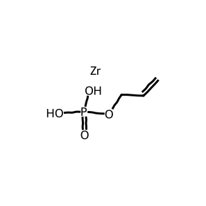 C=CCOP(=O)(O)O.[Zr]